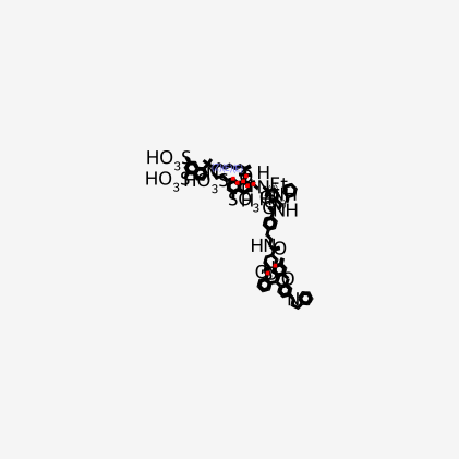 C=C(/C=C/C=C/C=C1\N(CCCCCC(=O)NCCNC(=O)[C@H](CC)NC(=O)[C@H](CC2CCCCC2)NC(=O)c2ccc(CCNC(=O)C3CCN(S(=O)(=O)c4ccccc4C4=c5ccc(=C)cc5Oc5cc(N6CCc7ccccc76)ccc54)CC3)cc2)c2ccc3c(S(=O)(=O)O)cc(S(=O)(=O)O)cc3c2C1(C)C)C(C)(C)c1c(C)ccc2c(S(=O)(=O)O)cc(S(=O)(=O)O)cc12